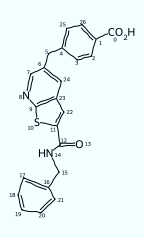 O=C(O)c1ccc(Cc2cnc3sc(C(=O)NCc4ccccc4)cc3c2)cc1